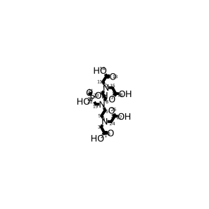 O=C(O)CN(CCN(CCN(CC(=O)O)CC(=O)O)CP(=O)(O)O)CC(=O)O